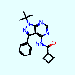 CC(C)(C)n1nc(-c2ccccc2)c2c(NC(=O)C3CCC3)ncnc21